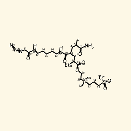 CCC(CC(CC(C)C(N)=O)C(=O)NCCCCCNC(=O)CN=[N+]=[N-])C(=O)OCC[N+](C)(C)CCCS(=O)(=O)[O-]